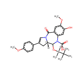 COc1ccc(C2=CN3C(=O)c4cc(OC)c(O)cc4N(C(=O)O)C(O[Si](C)(C)C(C)(C)C)[C@@H]3C2)cc1